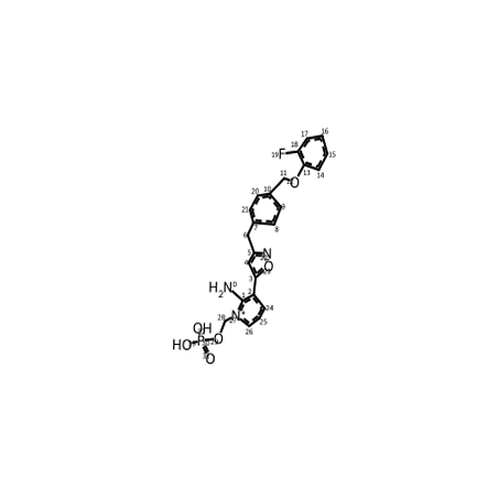 Nc1c(-c2cc(Cc3ccc(COc4ccccc4F)cc3)no2)ccc[n+]1COP(=O)(O)O